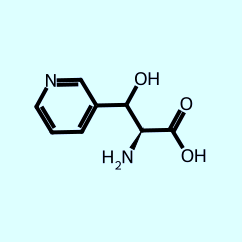 N[C@H](C(=O)O)C(O)c1cccnc1